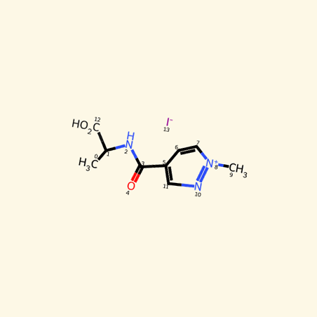 CC(NC(=O)c1cc[n+](C)nc1)C(=O)O.[I-]